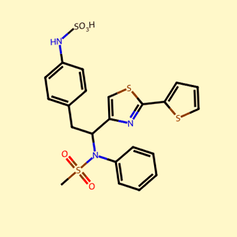 CS(=O)(=O)N(c1ccccc1)C(Cc1ccc(NS(=O)(=O)O)cc1)c1csc(-c2cccs2)n1